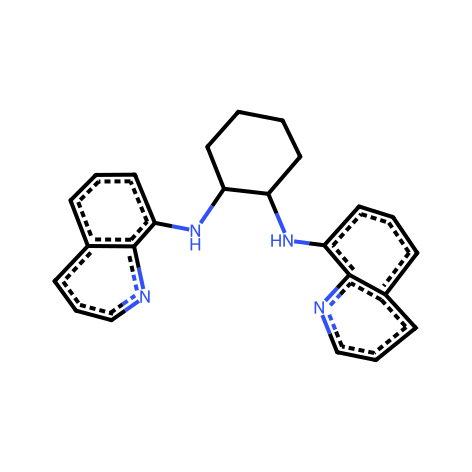 c1cnc2c(NC3CCCCC3Nc3cccc4cccnc34)cccc2c1